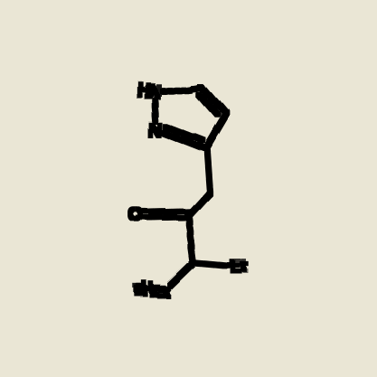 CCCCCCC(CC)C(=O)Cc1cc[nH]n1